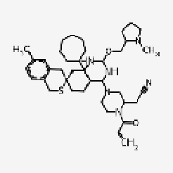 C=CC(=O)N1CCN(C2NC(OCC3CCCN3C)NC3(C4CCCCCC4)C[C@]4(CCC23)Cc2cc(C)ccc2CS4)CC1CC#N